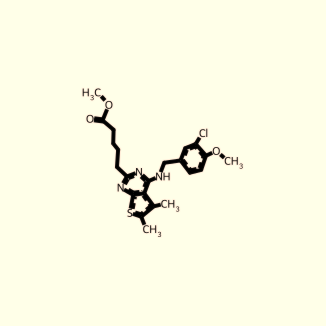 COC(=O)CCCCc1nc(NCc2ccc(OC)c(Cl)c2)c2c(C)c(C)sc2n1